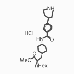 CCCCCCC(C[C@H]1CC[C@H](NC(=O)c2ccc(C3CCNCC3)cc2)CC1)C(=O)OC.Cl